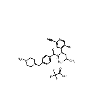 CC(C)CN(NC(=O)c1ccc(CN2CCN(C)CC2)cc1)c1nc(C#N)ncc1Br.O=C(O)C(F)(F)F